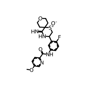 COc1ccc(C(=O)Nc2ccc(F)c(C3C[S+]([O-])C4(CCOCC4)C(=N)N3)c2)nc1